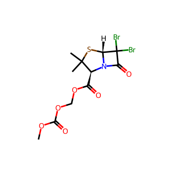 COC(=O)OCOC(=O)[C@@H]1N2C(=O)C(Br)(Br)[C@H]2SC1(C)C